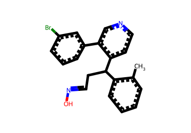 Cc1ccccc1C(CC=NO)c1ccncc1-c1cccc(Br)c1